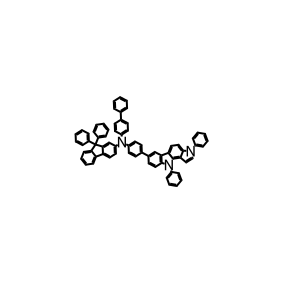 c1ccc(-c2ccc(N(c3ccc(-c4ccc5c(c4)c4ccc6c(ccn6-c6ccccc6)c4n5-c4ccccc4)cc3)c3ccc4c(c3)C(c3ccccc3)(c3ccccc3)c3ccccc3-4)cc2)cc1